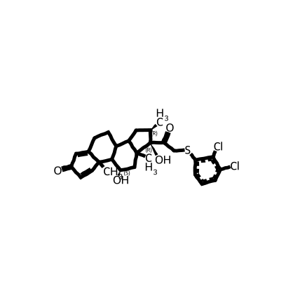 C[C@@H]1CC2C3CCC4=CC(=O)C=CC4(C)C3[C@@H](O)CC2(C)[C@@]1(O)C(=O)CSc1cccc(Cl)c1Cl